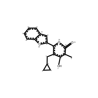 Cc1c(O)c(CC2CC2)c(-c2cc3ccccc3o2)oc1=O